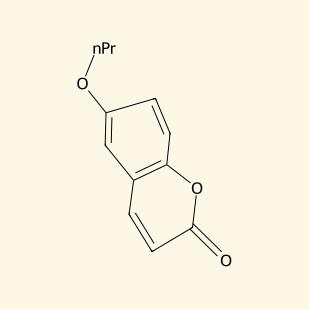 CCCOc1ccc2oc(=O)ccc2c1